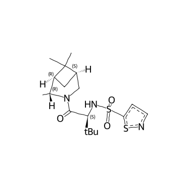 C[C@@H]1[C@@H]2C[C@H](CN1C(=O)[C@@H](NS(=O)(=O)c1ccns1)C(C)(C)C)C2(C)C